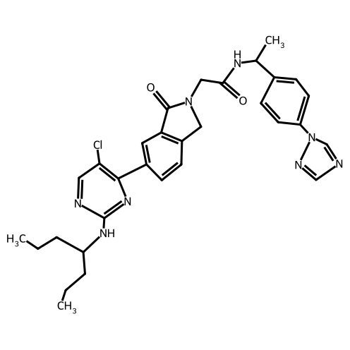 CCCC(CCC)Nc1ncc(Cl)c(-c2ccc3c(c2)C(=O)N(CC(=O)NC(C)c2ccc(-n4cncn4)cc2)C3)n1